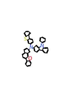 c1ccc(-n2c3ccccc3c3ccc(N(c4ccc5c(c4)sc4ccccc45)c4ccc5ccc6c7ccccc7oc6c5c4)cc32)cc1